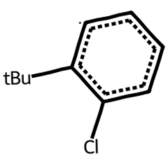 CC(C)(C)c1[c]cccc1Cl